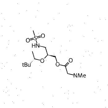 CNCC(=O)OC[C@H](CNS(C)(=O)=O)O[C@@H](C)C(C)(C)C